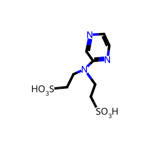 O=S(=O)(O)CCN(CCS(=O)(=O)O)c1cnccn1